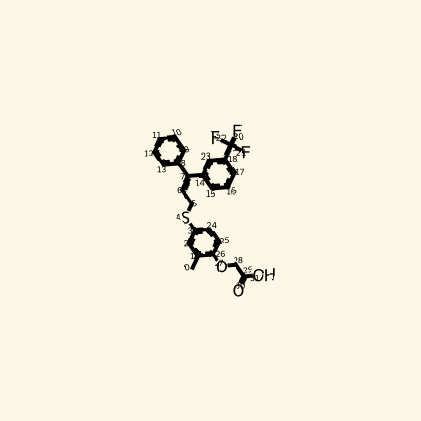 Cc1cc(SC/C=C(/c2ccccc2)c2cccc(C(F)(F)F)c2)ccc1OCC(=O)O